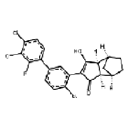 CCc1ccc(-c2ccc(Cl)c(Cl)c2F)cc1C1=C(O)[C@H]2[C@H]3CC[C@H](C3)[C@H]2C1=O